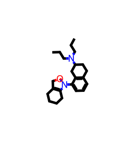 CCCN(CCC)C1CCc2cccc(N3OCC4=C3CCCC4)c2C1